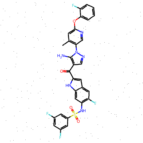 Cc1cc(Oc2ccccc2F)ncc1-n1ncc(C(=O)c2cc3cc(F)c(NS(=O)(=O)c4cc(F)cc(F)c4)cc3[nH]2)c1N